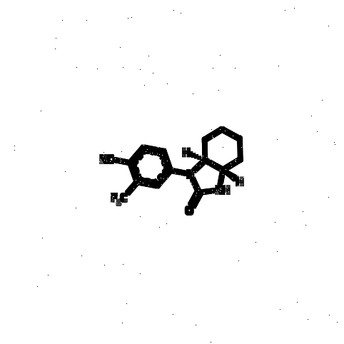 N#Cc1ccc(N2C(=O)N[C@H]3CCCC[C@@H]32)cc1C(F)(F)F